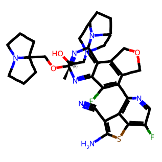 C[C@@H](O)CN1CC2CCC(C1)N2c1nc(OCC23CCCN2CCC3)nc2c(F)c(-c3ncc(F)c4sc(N)c(C#N)c34)c3c(c12)COC3